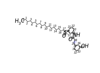 CCCCCCCCCCCCCCCCCC[S+]([O-])c1cccc(NC(=O)/C=C/c2cccc(O)c2)c1